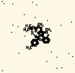 COc1c(CN(C)C(=O)OC(C)(C)C)cn(S(=O)(=O)c2ccc(C)nc2)c1-c1ccccc1F